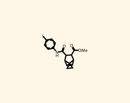 COC(=O)C1C(C(=O)Nc2ccc(I)cc2)C2C=CC1C21CC1